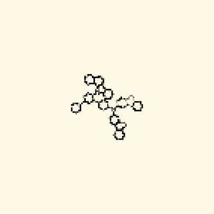 C1=CC2Oc3ccccc3C2C=C1N(c1ccc(-c2cc(-c3ccccc3)ccc2-n2c3ccccc3c3ccc4ccccc4c32)cc1)c1ccc2c(c1)oc1ccccc12